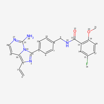 C=Cc1nc(-c2ccc(CNC(=O)c3cc(F)ccc3OC)cc2)n2c(N)nccc12